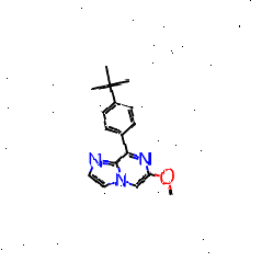 COc1cn2ccnc2c(-c2ccc(C(C)(C)C)cc2)n1